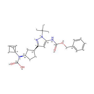 CC(C)(C)n1nc([C@H]2CC[C@@H](N(C(=O)O)C34CC(C3)C4)C2)cc1NC(=O)OCc1ccccc1